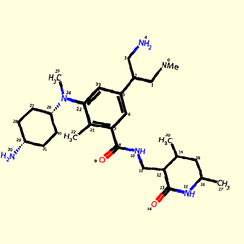 CNCC(CN)c1cc(C(=O)NCC2C(=O)NC(C)CC2C)c(C)c(N(C)[C@H]2CC[C@@H](N)CC2)c1